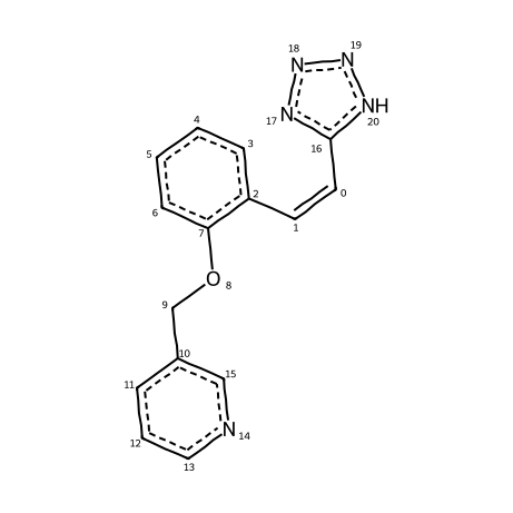 C(=C/c1ccccc1OCc1cccnc1)/c1nnn[nH]1